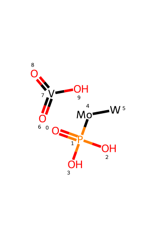 O=[P](O)(O)[Mo][W].[O]=[V](=[O])[OH]